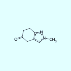 Cn1cc2c(n1)CCC(=O)C2